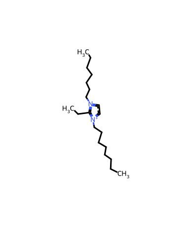 CCCCCCCC[n+]1ccn(CCCCCCC)c1CC